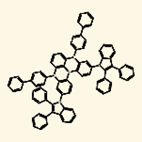 c1ccc(-c2ccc(N3c4cc(-n5c(-c6ccccc6)c(-c6ccccc6)c6ccccc65)ccc4B4c5ccc(-n6c(-c7ccccc7)c(-c7ccccc7)c7ccccc76)cc5N(c5ccc(-c6ccccc6)cc5)c5cccc3c54)cc2)cc1